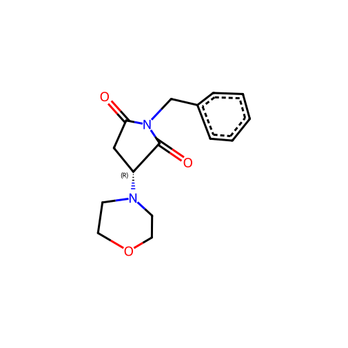 O=C1C[C@@H](N2CCOCC2)C(=O)N1Cc1ccccc1